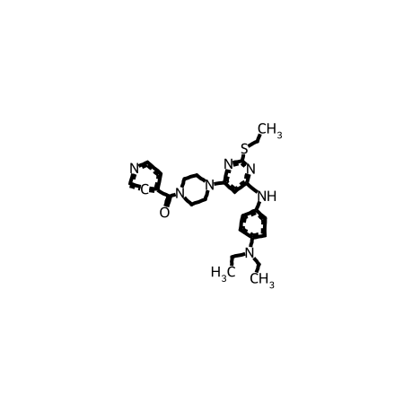 CCSc1nc(Nc2ccc(N(CC)CC)cc2)cc(N2CCN(C(=O)c3ccncc3)CC2)n1